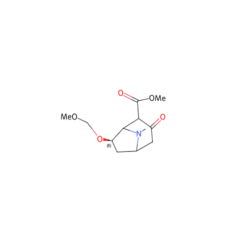 COCO[C@@H]1CC2CC(=O)C(C(=O)OC)C1N2C